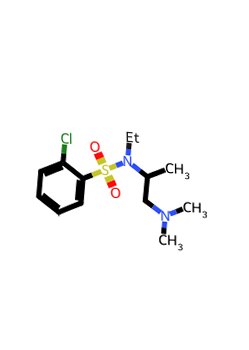 CCN(C(C)CN(C)C)S(=O)(=O)c1c[c]ccc1Cl